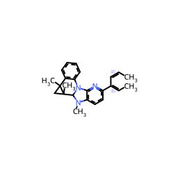 C/C=C\C(=C/C)c1ccc2c(n1)N1c3ccccc3C3(C)CC3(C)C1N2C